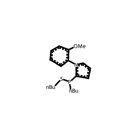 CCCCSP(CCCC)c1cccn1-c1ccccc1OC